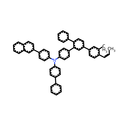 C/C=C\c1ccc(-c2ccc(-c3ccccc3)c(-c3ccc(N(c4ccc(-c5ccccc5)cc4)c4ccc(-c5ccc6ccccc6c5)cc4)cc3)c2)cc1C